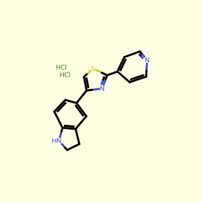 Cl.Cl.c1cc(-c2nc(-c3ccc4c(c3)CCN4)cs2)ccn1